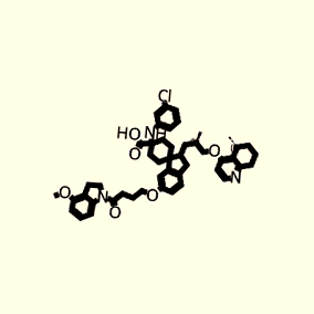 COc1cccc2c1CCN2C(=O)CCCOc1ccc2c(c1)C1(CCC(Nc3cccc(Cl)c3)(C(=O)O)CC1)C(C[C@@H](C)COc1ccnc3c1[C@H](C)CCC3)C2